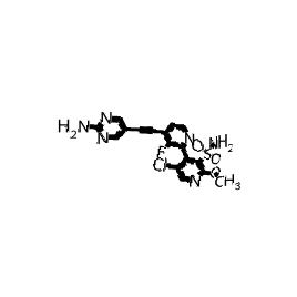 COc1ncc(Cl)c(-c2nccc(C#Cc3cnc(N)nc3)c2F)c1S(N)(=O)=O